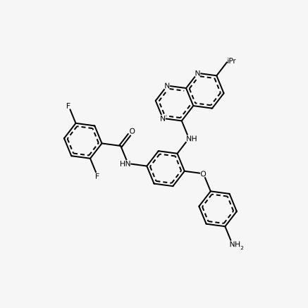 CC(C)c1ccc2c(Nc3cc(NC(=O)c4cc(F)ccc4F)ccc3Oc3ccc(N)cc3)ncnc2n1